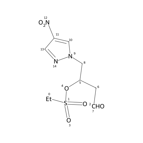 CCS(=O)(=O)OC(CC=O)Cn1cc([N+](=O)[O-])cn1